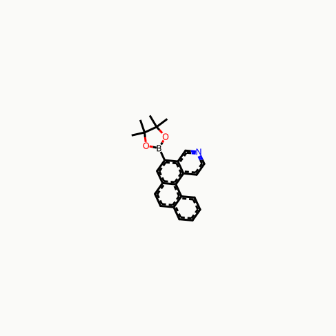 CC1(C)OB(c2cc3ccc4ccccc4c3c3ccncc23)OC1(C)C